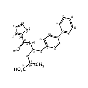 C[C@H](CC(Cc1ccc(-c2ccccc2)cc1)NC(=O)c1ncc[nH]1)C(=O)O